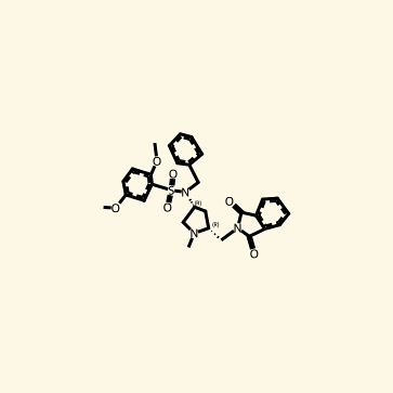 COc1ccc(OC)c(S(=O)(=O)N(Cc2ccccc2)[C@@H]2C[C@H](CN3C(=O)c4ccccc4C3=O)N(C)C2)c1